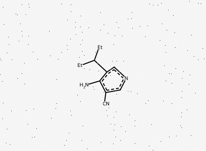 CCC(CC)c1cncc(C#N)c1N